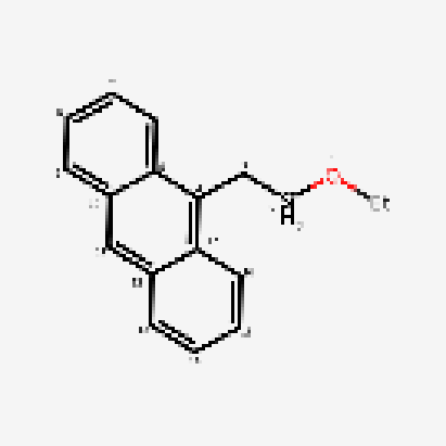 CCO[SiH2]Cc1c2ccccc2cc2ccccc12